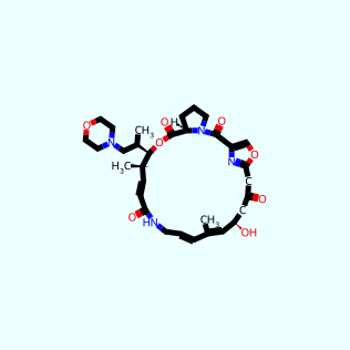 CC1=C\[C@@H](O)CC(=O)Cc2nc(co2)C(=O)N2CCC[C@@H]2C(=O)O[C@H](C(C)CN2CCOCC2)[C@H](C)/C=C/C(=O)NC\C=C\1